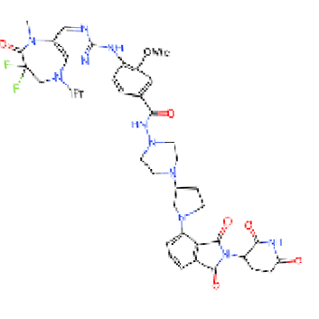 COc1cc(C(=O)NN2CCN(C3CCN(c4cccc5c4C(=O)N(C4CCC(=O)NC4=O)C5=O)C3)CC2)ccc1Nc1ncc2c(n1)N(C(C)C)CC(F)(F)C(=O)N2C